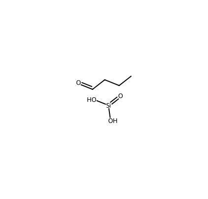 CCCC=O.O=[Si](O)O